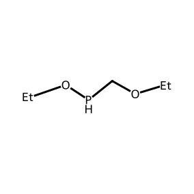 CCOCPOCC